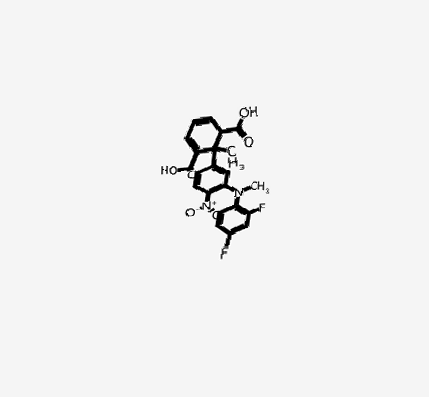 CN(c1ccc(F)cc1F)c1cc(C2(C)C(C(=O)O)=CC=CC2C(=O)O)ccc1[N+](=O)[O-]